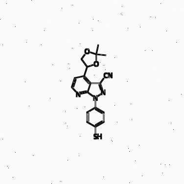 CC1(C)OCC(c2ccnc3c2c(C#N)nn3-c2ccc(S)cc2)O1